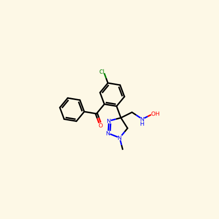 CN1CC(CNO)(c2ccc(Cl)cc2C(=O)c2ccccc2)N=N1